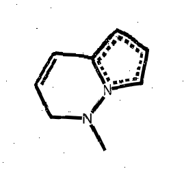 CN1CC=Cc2cccn21